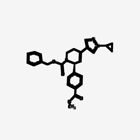 COC(=O)c1ccc([C@@H]2C=C(c3cnn(C4CC4)c3)CCN2C(=O)OCc2ccccc2)cc1